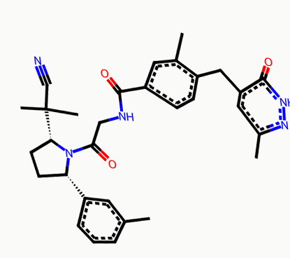 Cc1cccc([C@@H]2CC[C@H](C(C)(C)C#N)N2C(=O)CNC(=O)c2ccc(Cc3cc(C)n[nH]c3=O)c(C)c2)c1